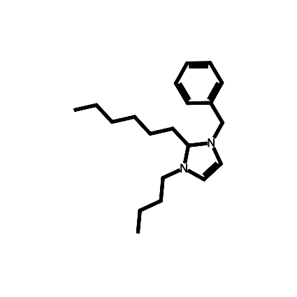 CCCCCCC1N(CCCC)C=CN1Cc1ccccc1